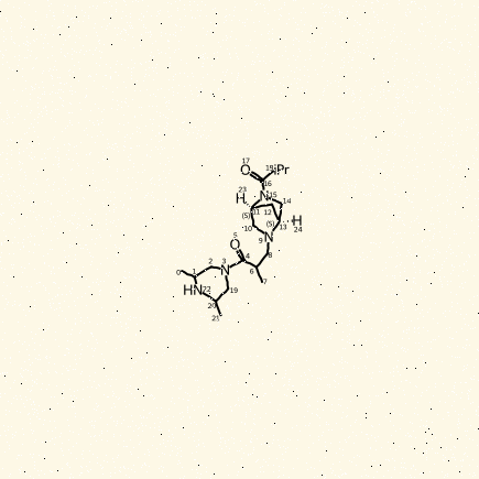 CC1CN(C(=O)C(C)CN2C[C@@H]3C[C@H]2CN3C(=O)C(C)C)CC(C)N1